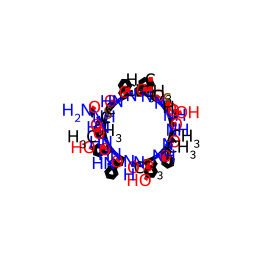 CCCC[C@H]1C(=O)N2CSC[C@@H]2C(=O)N[C@@H](CC(=O)O)C(=O)N[C@@H](C)C(=O)N(C)C(Cc2ccccc2)C(=O)N[C@@H](Cc2ccc(O)cc2)C2OC2N(C)C(=O)N[C@@H](Cc2c[nH]c3ccccc23)C(=O)N[C@@H](Cc2ccc(O)cc2)C(=O)N[C@@H](CC(C)C)C(=O)N[C@H](C(=O)NCC(N)=O)CSCC(=O)N[C@@H](Cc2ccccc2)C(=O)N(C)C(Cc2ccccc2)C(=O)N1C